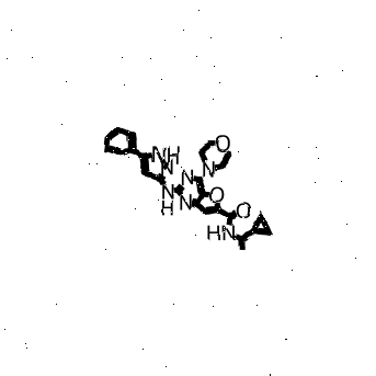 CC(NC(=O)c1cc2nc(Nc3cc(-c4ccccc4)[nH]n3)nc(N3CCOCC3)c2o1)C1CC1